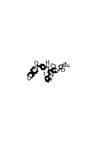 CC(C)(C)OC(=O)N1Cc2nc(-c3c(F)cccc3F)cc(Nc3ccc(C(=O)N4CCC5(CCOCC5)CC4)cc3)c2C1=O